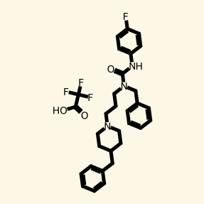 O=C(Nc1ccc(F)cc1)N(CCCN1CCC(Cc2ccccc2)CC1)Cc1ccccc1.O=C(O)C(F)(F)F